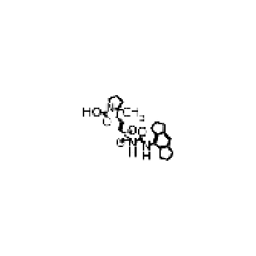 CC1(CC=CS(=O)(=O)NC(=O)Nc2c3c(cc4c2CCC4)CCC3)CCCN1C(=O)O